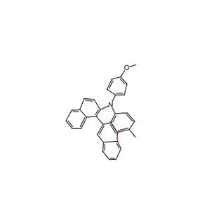 COc1ccc(N(c2ccc(C)cc2)c2ccc3ccccc3c2-c2ccc3ccccc3c2)cc1